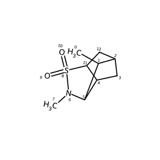 CC1C2CC3C1N(C)S(=O)(=O)C3C2